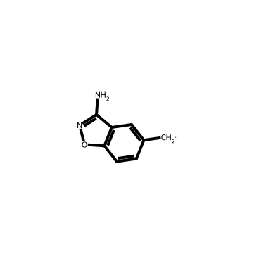 [CH2]c1ccc2onc(N)c2c1